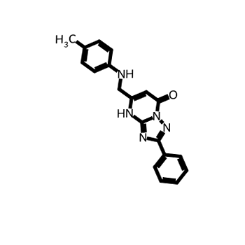 Cc1ccc(NCc2cc(=O)n3nc(-c4ccccc4)nc3[nH]2)cc1